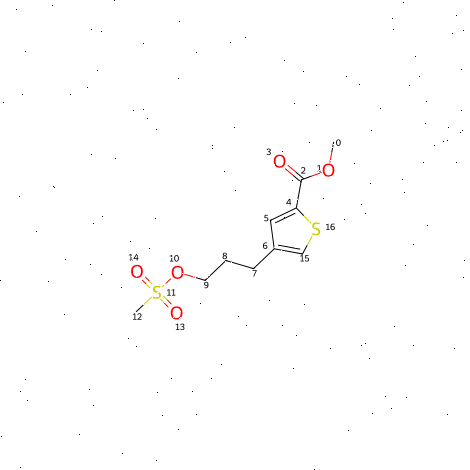 COC(=O)c1cc(CCCOS(C)(=O)=O)cs1